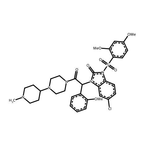 COc1ccc(S(=O)(=O)n2c(=O)n(C(C(=O)N3CCN(C4CCN(C)CC4)CC3)c3ccccc3OC)c3cc(Cl)ccc32)c(OC)c1